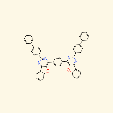 c1ccc(-c2ccc(-c3nc(-c4ccc(-c5nc(-c6ccc(-c7ccccc7)cc6)nc6c5oc5ccccc56)cc4)c4oc5ccccc5c4n3)cc2)cc1